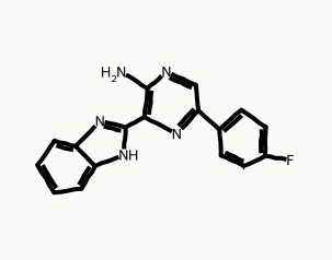 Nc1ncc(-c2c[c]c(F)cc2)nc1-c1nc2ccccc2[nH]1